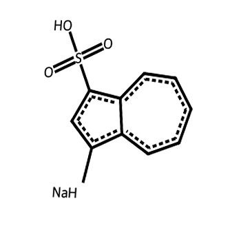 Cc1cc(S(=O)(=O)O)c2cccccc1-2.[NaH]